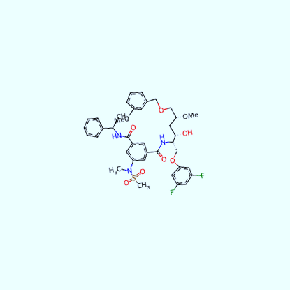 COc1cccc(COC[C@@H](C[C@H](O)[C@H](COc2cc(F)cc(F)c2)NC(=O)c2cc(C(=O)N[C@H](C)c3ccccc3)cc(N(C)S(C)(=O)=O)c2)OC)c1